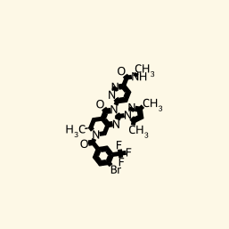 CNC(=O)c1ccc(-n2c(-n3nc(C)cc3C)nc3c(c2=O)C[C@@H](C)N(C(=O)c2ccc(Br)c(C(F)(F)F)c2)C3)nn1